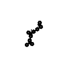 c1ccc(-n2c3ccccc3c3cc(-c4ccc5c(c4)c4ccccc4n5-c4ccc(-c5ccc(-c6cccc7c6sc6ccccc67)cc5)cn4)ccc32)cc1